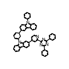 C1=CC(c2ccc3c(c2)c2ccccc2n3-c2ccccc2)CC(n2c3ccccc3c3ccc(-c4ccnc(-c5nc(-c6ccccc6)nc(-c6ccccc6)n5)c4)cc32)=C1